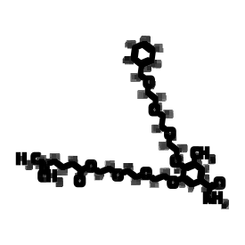 Cc1cc(C(N)=O)cc(OCCOCCOCCOC(=O)CCCN(C)C)c1OCCOCCOCCOCc1ccccc1